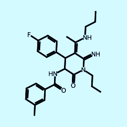 CCCN/C(C)=C1\C(=N)N(CCC)C(=O)C(NC(=O)c2cccc(C)c2)C1c1ccc(F)cc1